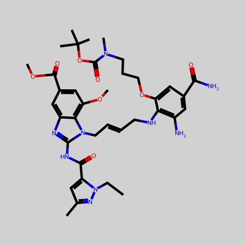 CCn1nc(C)cc1C(=O)Nc1nc2cc(C(=O)OC)cc(OC)c2n1CC=CCNc1c(N)cc(C(N)=O)cc1OCCCN(C)C(=O)OC(C)(C)C